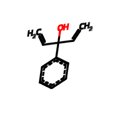 C=CC(O)(C=C)c1ccccc1